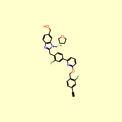 C#Cc1ccc(COc2cccc(-c3ccc(Cc4nc5ccc(CO)cc5n4C[C@H]4CCOC4)c(F)c3)n2)c(F)c1